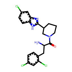 NC(Cc1ccc(Cl)cc1Cl)C(=O)N1CCCC(c2nc3cc(Cl)ccc3[nH]2)C1